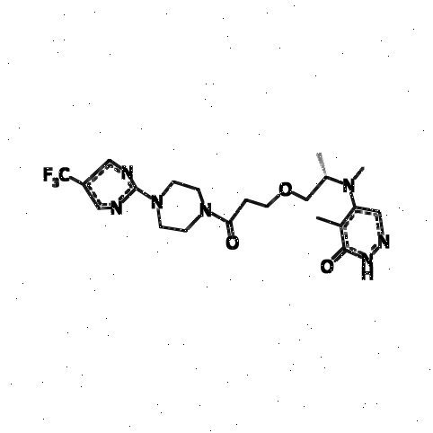 Cc1c(N(C)[C@@H](C)COCCC(=O)N2CCN(c3ncc(C(F)(F)F)cn3)CC2)cn[nH]c1=O